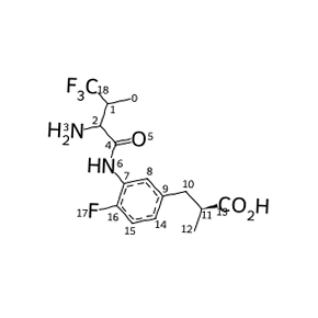 CC(C(N)C(=O)Nc1cc(C[C@H](C)C(=O)O)ccc1F)C(F)(F)F